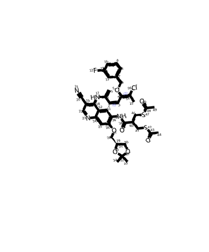 C=C(/C=C\C(OCc1cccc(F)c1)=C(/C)Cl)Nc1c(C#N)cnc2cc(OC[C@H]3COC(C)(C)O3)c(NC(=O)C(CSC(C)=O)CSC(C)=O)cc12